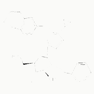 CC[C@H]1OC(c2ccc(C3CC3)c(Cc3ccc4c(c3)CCCO4)c2)[C@H](OCc2ccccc2)[C@@H](C)[C@@H]1C